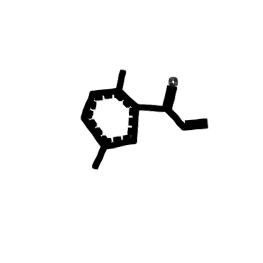 C=CC(=O)c1cc(C)ccc1C